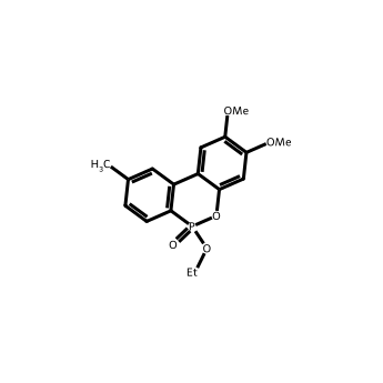 CCOP1(=O)Oc2cc(OC)c(OC)cc2-c2cc(C)ccc21